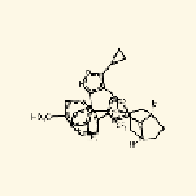 O=C(O)c1ccc(-c2csc(N3[C@@H]4CC[C@H]3C[C@@H](OCc3c(-c5ccccc5OC(F)(F)F)noc3C3CC3)C4)n2)c(C(F)(F)F)c1